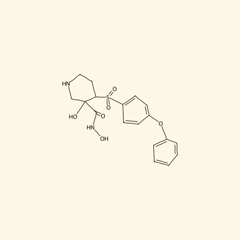 O=C(NO)C1(O)CNCCC1S(=O)(=O)c1ccc(Oc2ccccc2)cc1